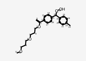 C=C(OCCCOCCCOC)c1ccc(C(OO)c2ccc(C)cc2)cc1